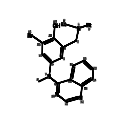 CCN(CC)Cc1cc(N(C)c2ncnc3ccccc23)cc(Br)c1O